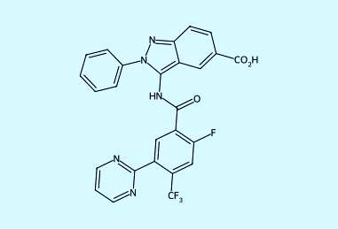 O=C(O)c1ccc2nn(-c3ccccc3)c(NC(=O)c3cc(-c4ncccn4)c(C(F)(F)F)cc3F)c2c1